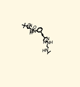 CC(C)NCCNc1ncc(C#Cc2cccc(NC(=O)Nc3cc(C(C)(C)C)on3)c2)cn1